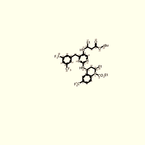 CCOC(=O)N1c2ccc(C(F)(F)F)cc2[C@@H](Nc2ncc(NC(CC)CC(=O)OC(C)(C)C)c(Cc3cc(C(F)(F)F)cc(C(F)(F)F)c3)n2)C[C@H]1CC